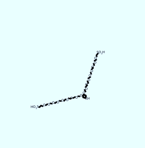 O=S(=O)(O)CCCOCCOCCOCCOCCOCCOCCOCCOCCOc1ccccc1OCCOCCOCCOCCOCCOCCOCCOCCOCCCS(=O)(=O)O.[KH]